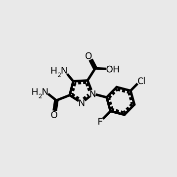 NC(=O)c1nn(-c2cc(Cl)ccc2F)c(C(=O)O)c1N